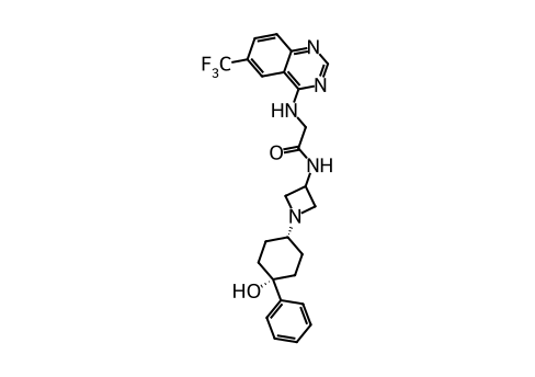 O=C(CNc1ncnc2ccc(C(F)(F)F)cc12)NC1CN([C@H]2CC[C@](O)(c3ccccc3)CC2)C1